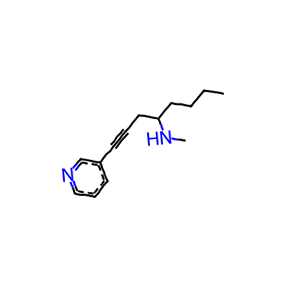 CCCCC(CC#Cc1cccnc1)NC